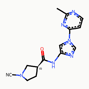 Cc1nccc(-n2cnc(NC(=O)[C@H]3CCN(C#N)C3)c2)n1